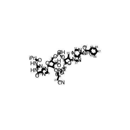 CC(C)C(=O)Nc1nc2c(ncn2C2OC3COP(O)OC4C(COP(=O)(OCCC#N)OC2C3CO)OC(n2cnc3c(NC(=O)c5ccccc5)ncnc32)C4C)c(=O)[nH]1